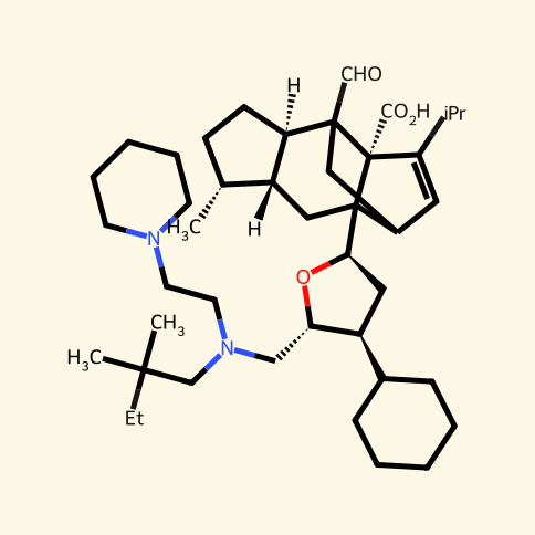 CCC(C)(C)CN(CCN1CCCCC1)C[C@@H]1O[C@@H](C23C[C@@H]4[C@H](C)CC[C@H]4C4(C=O)CC2C=C(C(C)C)[C@]43C(=O)O)C[C@H]1C1CCCCC1